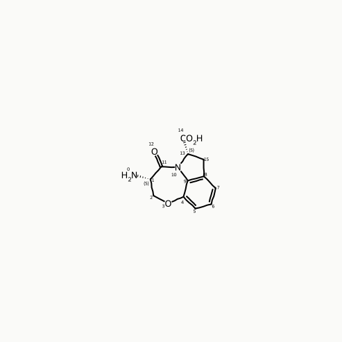 N[C@H]1COc2cccc3c2N(C1=O)[C@H](C(=O)O)C3